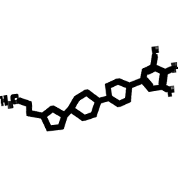 CCCC1CCC(C2CCC(C3CCC(c4cc(F)c(F)c(F)c4)CC3)CC2)C1